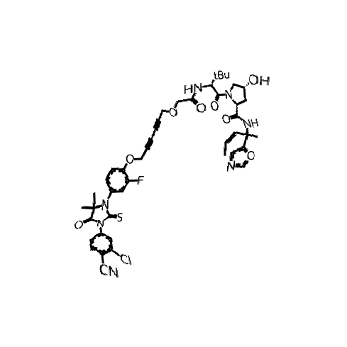 C/C=C\C(C)(NC(=O)[C@@H]1C[C@@H](O)CN1C(=O)[C@@H](NC(=O)COCC#CC#CCOc1ccc(N2C(=S)N(c3ccc(C#N)c(Cl)c3)C(=O)C2(C)C)cc1F)C(C)(C)C)c1cnco1